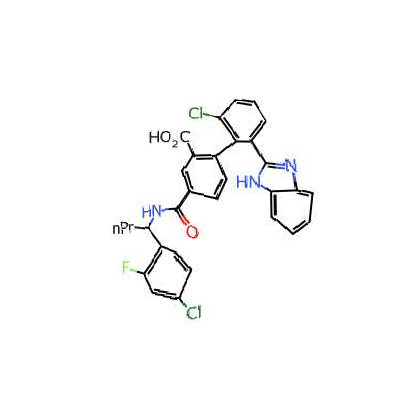 CCCC(NC(=O)c1ccc(-c2c(Cl)cccc2-c2nc3ccccc3[nH]2)c(C(=O)O)c1)c1ccc(Cl)cc1F